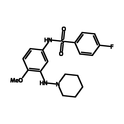 COc1ccc(NS(=O)(=O)c2ccc(F)cc2)cc1NN1CCCCC1